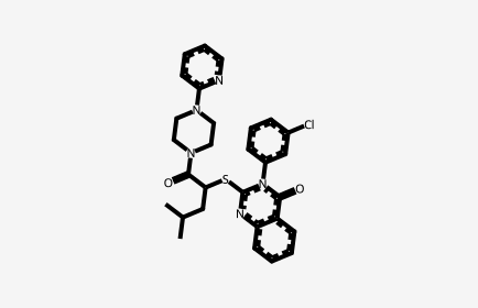 CC(C)CC(Sc1nc2ccccc2c(=O)n1-c1cccc(Cl)c1)C(=O)N1CCN(c2ccccn2)CC1